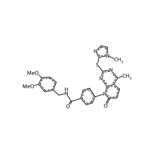 COc1ccc(CNC(=O)c2ccc(-n3c(=O)ccc4c(C)nc(Sc5nccn5C)nc43)cc2)cc1OC